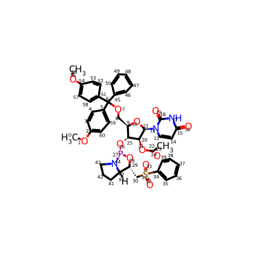 COc1ccc(C(OC[C@H]2O[C@@H](n3ccc(=O)[nH]c3=O)[C@@H](OC(C)=O)[C@@H]2O[P@]2O[C@H](CS(=O)(=O)c3ccccc3)[C@@H]3CCCN32)(c2ccccc2)c2ccc(OC)cc2)cc1